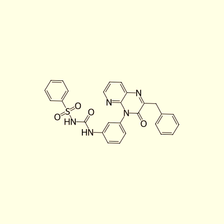 O=C(Nc1cccc(-n2c(=O)c(Cc3ccccc3)nc3cccnc32)c1)NS(=O)(=O)c1ccccc1